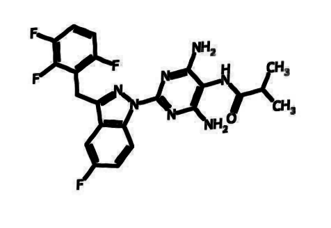 CC(C)C(=O)Nc1c(N)nc(-n2nc(Cc3c(F)ccc(F)c3F)c3cc(F)ccc32)nc1N